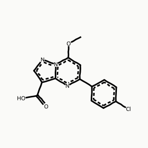 COc1cc(-c2ccc(Cl)cc2)nc2c(C(=O)O)cnn12